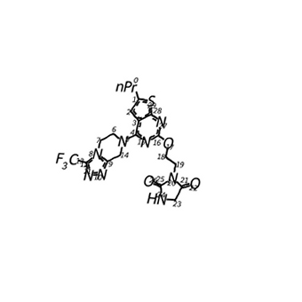 CCCc1cc2c(N3CCn4c(nnc4C(F)(F)F)C3)nc(OCCN3C(=O)CNC3=O)nc2s1